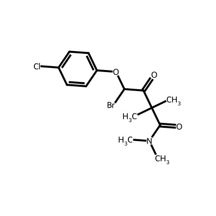 CN(C)C(=O)C(C)(C)C(=O)C(Br)Oc1ccc(Cl)cc1